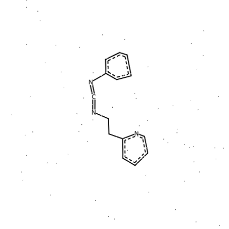 C(=NCCc1ccccn1)=Nc1ccccc1